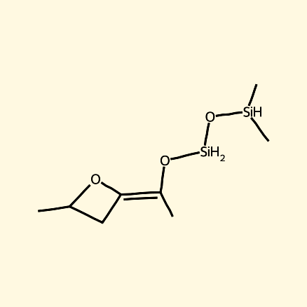 CC(O[SiH2]O[SiH](C)C)=C1CC(C)O1